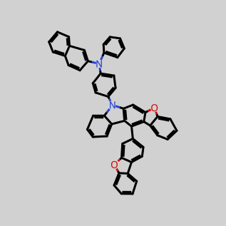 c1ccc(N(c2ccc(-n3c4ccccc4c4c(-c5ccc6c(c5)oc5ccccc56)c5c(cc43)oc3ccccc35)cc2)c2ccc3ccccc3c2)cc1